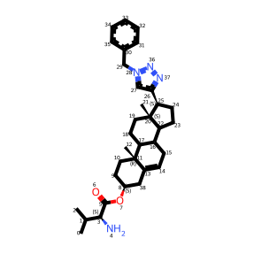 CC(C)[C@H](N)C(=O)O[C@H]1CC[C@@]2(C)C(=CCC3C2CC[C@@]2(C)C3CC[C@@H]2c2cn(Cc3ccccc3)nn2)C1